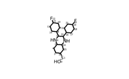 OSC1CCC2NC(C3CCC(F)CC3)C(C3CCC(F)CC3)NC2C1